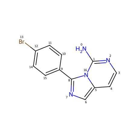 Nc1nccc2cnc(-c3ccc(Br)cc3)n12